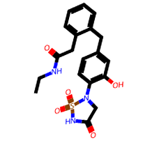 CCNC(=O)Cc1ccccc1Cc1ccc(N2CC(=O)NS2(=O)=O)c(O)c1